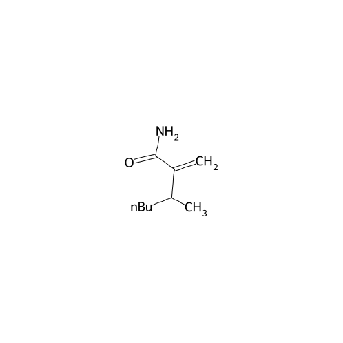 C=C(C(N)=O)C(C)CCCC